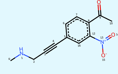 CNCC#Cc1ccc(C(C)=O)c([N+](=O)[O-])c1